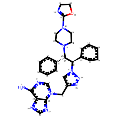 Nc1ncn(Cc2cn([C@H](c3ccccc3)[C@H](c3ccccc3)N3CCN(C4=NCCO4)CC3)nn2)c2ncnc1-2